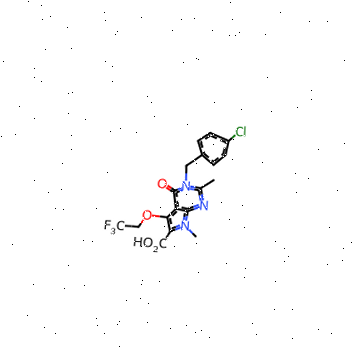 Cc1nc2c(c(OCC(F)(F)F)c(C(=O)O)n2C)c(=O)n1Cc1ccc(Cl)cc1